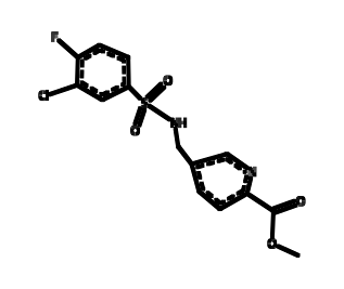 COC(=O)c1ccc(CNS(=O)(=O)c2ccc(F)c(Cl)c2)cn1